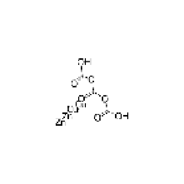 O=C(O)OC(=O)OC(=O)O.[Cu].[Cu].[Zn].[Zn]